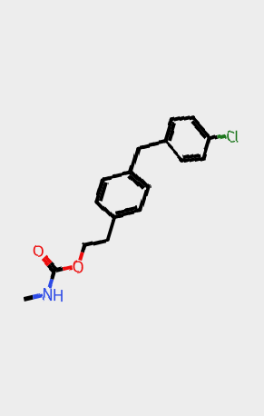 CNC(=O)OCCc1ccc(Cc2ccc(Cl)cc2)cc1